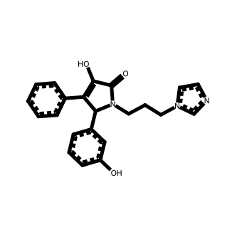 O=C1C(O)=C(c2ccccc2)C(c2cccc(O)c2)N1CCCn1ccnc1